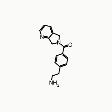 NCCc1ccc(C(=O)N2Cc3cccnc3C2)cc1